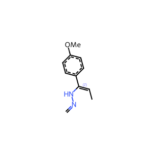 C=NN/C(=C\C)c1ccc(OC)cc1